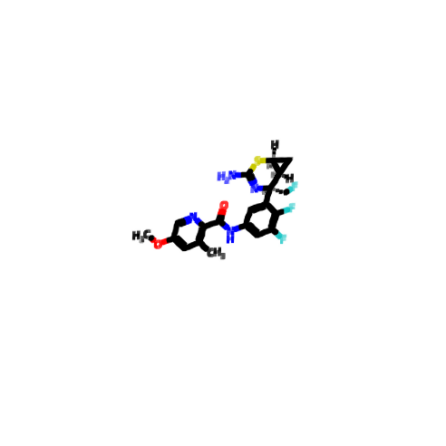 COc1cnc(C(=O)Nc2cc(F)c(F)c([C@@]3(CF)N=C(N)S[C@H]4C[C@H]43)c2)c(C)c1